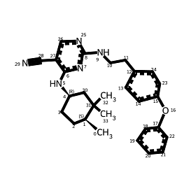 C[C@H]1CC[C@@H](Nc2nc(NCCc3ccc(Oc4ccccc4)cc3)ncc2C#N)CC1(C)C